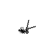 CCCCCCCCN(CCCCCCCC)Cc1ccccc1-c1nn2nc(C(C)(C)C)c(Cl)c2[nH]1